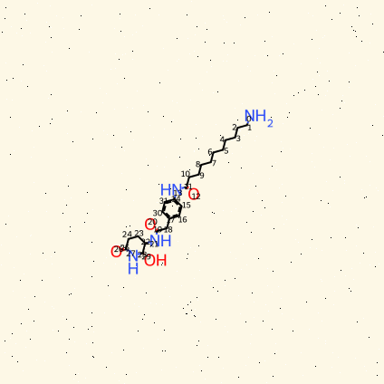 NCCCCCCCCCCC(=O)Nc1ccc(CC(=O)NC2CCC(=O)NC2O)cc1